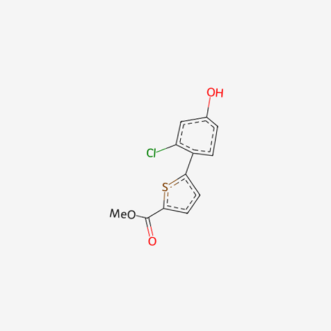 COC(=O)c1ccc(-c2ccc(O)cc2Cl)s1